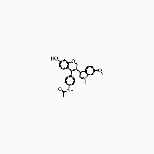 COc1ccc2c(c1)NCC2C1COc2cc(O)ccc2C1c1ccc(NC(C)=O)cc1